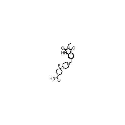 CCn1c(=O)[nH]c2cc(CN3CCN(C4(F)CCN(C(=O)NC)CC4)CC3)ccc2c1=O